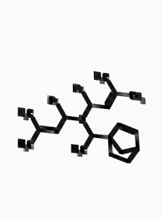 CC(C)=CC(B(C(C=C(C)C)C(C)C)C(C)C12C=CC(CC1)C2)C(C)C